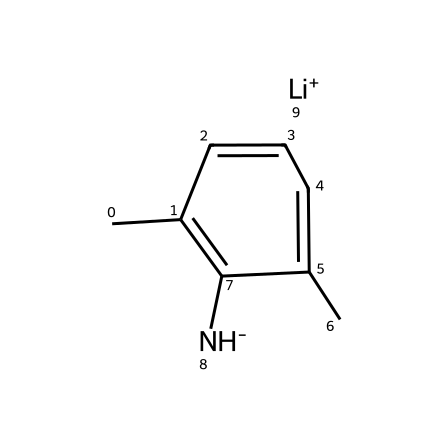 Cc1cccc(C)c1[NH-].[Li+]